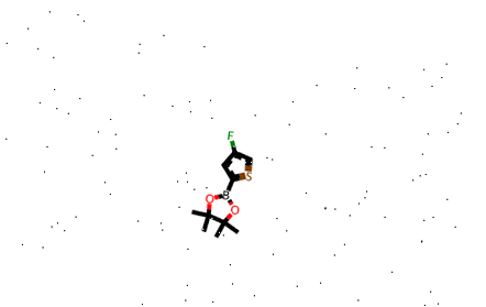 CC1(C)OB(c2cc(F)cs2)OC1(C)C